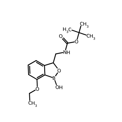 CCOc1cccc2c1B(O)OC2CNC(=O)OC(C)(C)C